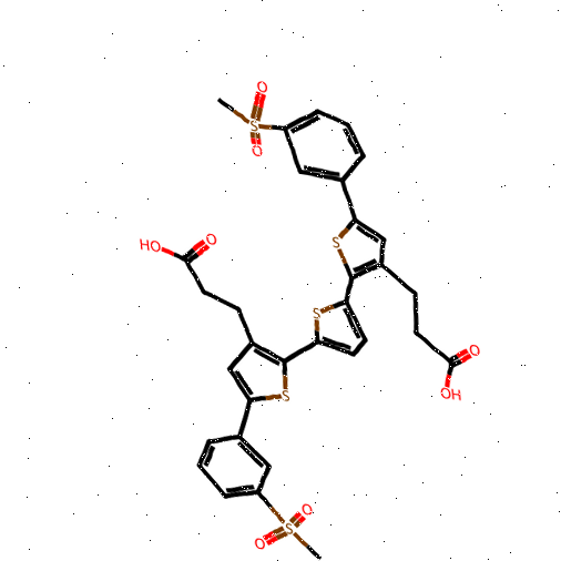 CS(=O)(=O)c1cccc(-c2cc(CCC(=O)O)c(-c3ccc(-c4sc(-c5cccc(S(C)(=O)=O)c5)cc4CCC(=O)O)s3)s2)c1